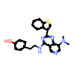 CN(C)c1cncc2c(NCCc3ccc(O)cc3)nc(-c3csc4ccccc34)nc12